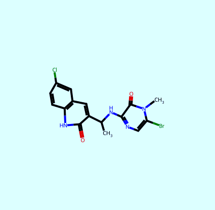 CC(Nc1ncc(Br)n(C)c1=O)c1cc2cc(Cl)ccc2[nH]c1=O